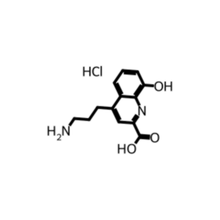 Cl.NCCCc1cc(C(=O)O)nc2c(O)cccc12